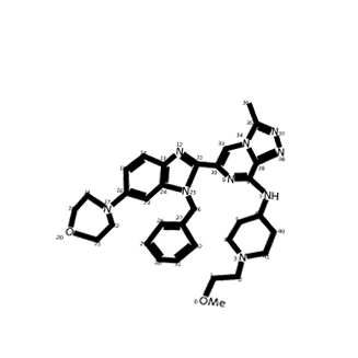 COCCN1CCC(Nc2nc(-c3nc4ccc(N5CCOCC5)cc4n3Cc3ccccc3)cn3c(C)nnc23)CC1